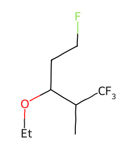 CCOC(CCF)C(C)C(F)(F)F